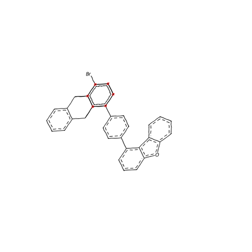 Brc1ccc(-c2ccc(-c3cccc4oc5ccccc5c34)cc2)c2c1C1c3ccccc3C2c2ccccc21